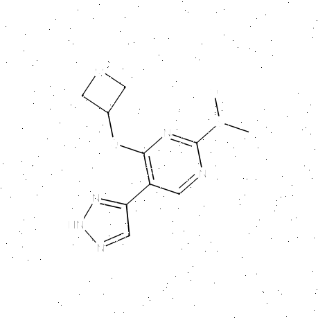 C[S+]([O-])c1ncc(-c2cn[nH]n2)c(OC2COC2)n1